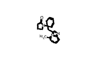 Cc1cccc2ncc(CC3(N4CCCC4=O)C=CC=CC3)n12